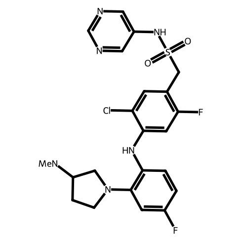 CNC1CCN(c2cc(F)ccc2Nc2cc(F)c(CS(=O)(=O)Nc3cncnc3)cc2Cl)C1